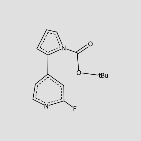 CC(C)(C)OC(=O)n1cccc1-c1ccnc(F)c1